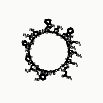 CCCC[C@H]1C(=O)N(C)[C@@H](CCCC)C(=O)N[C@@H](CCN)C(=O)N[C@H](C(=O)NCC(N)=O)CSCC(=O)N[C@@H](Cc2ccc(O)cc2)C(=O)N(C)[C@@H](C)C(=O)N[C@@H](CC(N)=O)C(=O)N2CCC[C@H]2C(=O)N[C@@H](Cc2cnc[nH]2)C(=O)N[C@@H](CC(C)C)C(=O)N2C[C@H](O)C[C@H]2C(=O)N[C@@H](Cc2c[nH]c3ccccc23)C(=O)N[C@@H](CCN)C(=O)N[C@@H](Cc2c[nH]c3ccccc23)C(=O)N1C